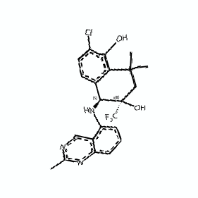 Cc1ncc2c(N[C@H]3c4ccc(Cl)c(O)c4C(C)(C)C[C@]3(O)C(F)(F)F)cccc2n1